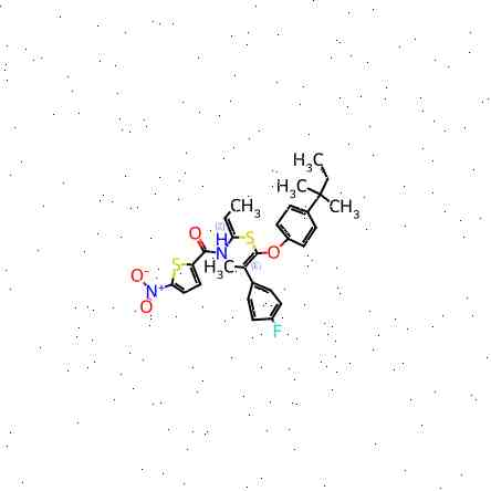 C/C=C(/NC(=O)c1ccc([N+](=O)[O-])s1)S/C(Oc1ccc(C(C)(C)CC)cc1)=C(\C)c1ccc(F)cc1